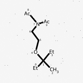 CCC(C)(CC)OCCN(C(C)=O)C(C)=O